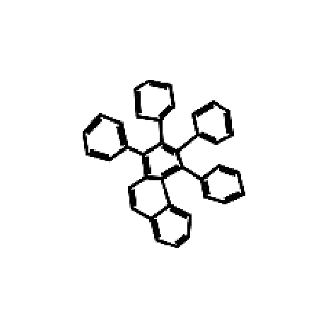 c1ccc(-c2c(-c3ccccc3)c(-c3ccccc3)c3c(ccc4ccccc43)c2-c2ccccc2)cc1